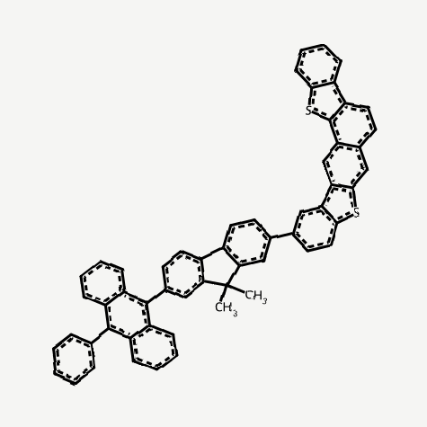 CC1(C)c2cc(-c3ccc4sc5cc6ccc7c8ccccc8sc7c6cc5c4c3)ccc2-c2ccc(-c3c4ccccc4c(-c4ccccc4)c4ccccc34)cc21